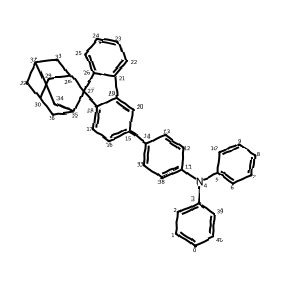 c1ccc(N(c2ccccc2)c2ccc(-c3ccc4c(c3)-c3ccccc3C43C4CC5CC(C4)CC3C5)cc2)cc1